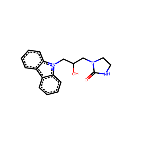 O=C1NCCN1CC(O)Cn1c2ccccc2c2ccccc21